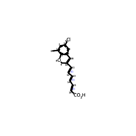 Cc1cc(Cl)cc2c1OCC(/C=C/C=C/C=C/C(=O)O)=C2